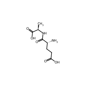 C[C@@H](NC(=O)[C@H](N)CCC(=O)O)C(=O)O